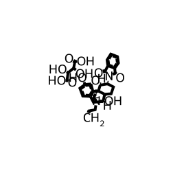 C=CCN1CC[C@]23c4c5ccc(O)c4O[C@H]2[C@H](N2C(=O)c4ccccc4C2=O)CCC3(O)[C@H]1C5.O=C(O)C(O)C(O)C(=O)O